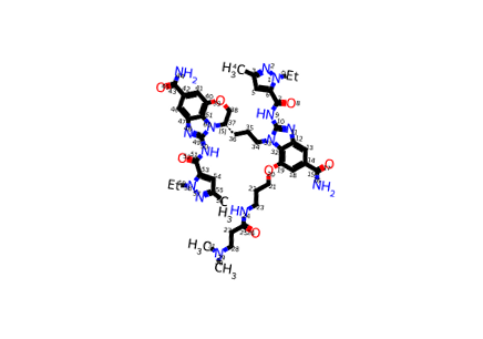 CCn1nc(C)cc1C(=O)Nc1nc2cc(C(N)=O)cc(OCCCNC(=O)CCN(C)C)c2n1CCC[C@H]1COc2cc(C(N)=O)cc3nc(NC(=O)c4cc(C)nn4CC)n1c23